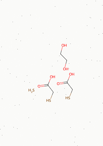 O=C(O)CS.O=C(O)CS.OCCO.S